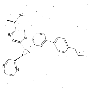 CCCc1ccc(-c2ccc(N(C[C@@H](N)[C@@H](C)OC)C(=O)[C@@H]3C[C@H]3c3cnccn3)cc2)cc1